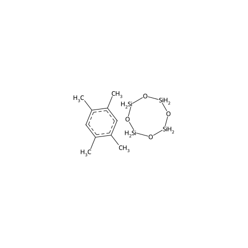 Cc1cc(C)c(C)cc1C.O1[SiH2]O[SiH2]O[SiH2]O[SiH2]1